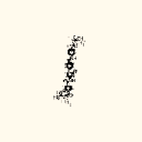 CC(C)(C)OC(=O)N[C@H]1CC[C@@H](NCc2ccc(-n3ccc(NC(=O)N4CCN(C(=O)C(C)(C)NC(=O)O)CC4)nc3=O)cc2)CC1